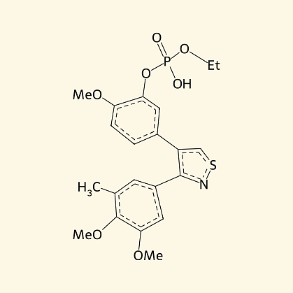 CCOP(=O)(O)Oc1cc(-c2csnc2-c2cc(C)c(OC)c(OC)c2)ccc1OC